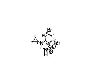 O=S1(=O)NCN(C2CC2)c2cc(Br)cc(Br)c21